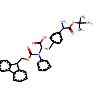 CC(C)(C)OC(=O)C(N)c1ccc(C[C@@H](C(=O)O)N(C(=O)OCC2c3ccccc3-c3ccccc32)c2ccccc2)cc1